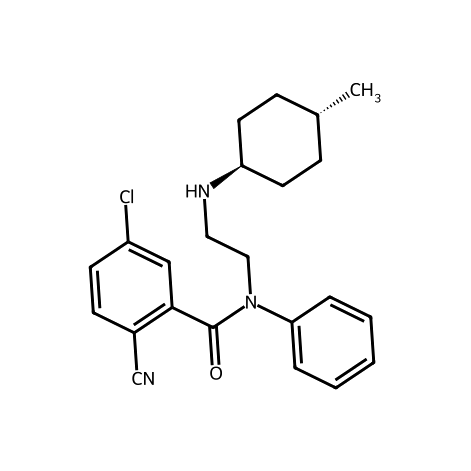 C[C@H]1CC[C@H](NCCN(C(=O)c2cc(Cl)ccc2C#N)c2ccccc2)CC1